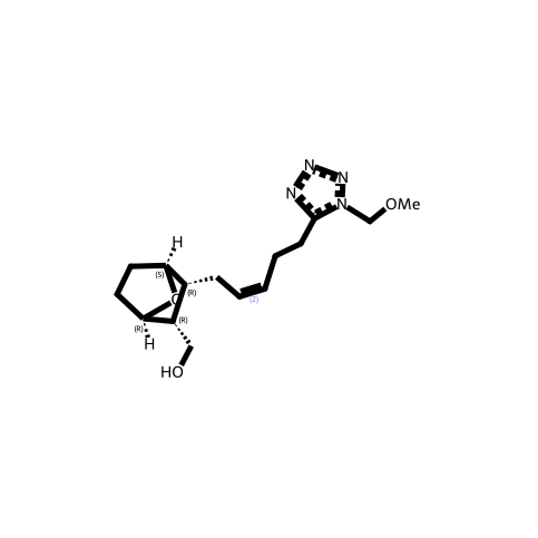 COCn1nnnc1CC/C=C\C[C@@H]1[C@H](CO)[C@H]2CC[C@@H]1O2